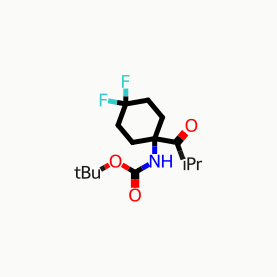 CC(C)C(=O)C1(NC(=O)OC(C)(C)C)CCC(F)(F)CC1